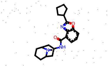 CN1C2CCCC1CC(NC(=O)c1cccc3oc(C4CCCC4)nc13)C2